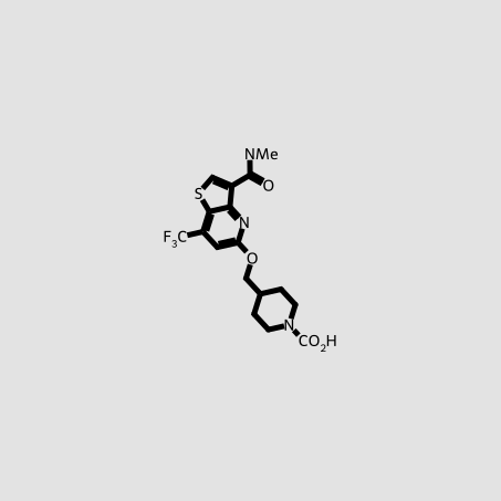 CNC(=O)c1csc2c(C(F)(F)F)cc(OCC3CCN(C(=O)O)CC3)nc12